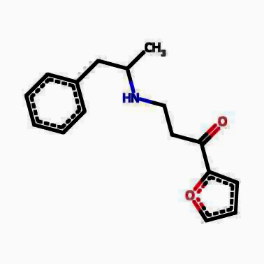 CC(Cc1ccccc1)NCCC(=O)c1ccco1